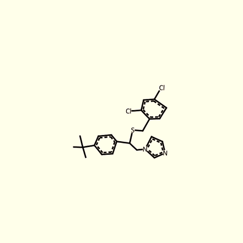 CC(C)(C)c1ccc(C(Cn2ccnc2)SCc2ccc(Cl)cc2Cl)cc1